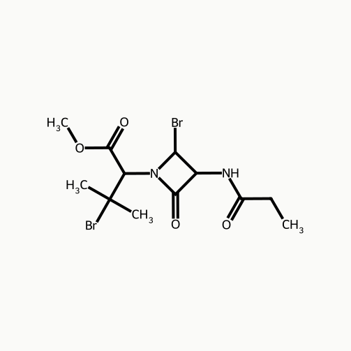 CCC(=O)NC1C(=O)N(C(C(=O)OC)C(C)(C)Br)C1Br